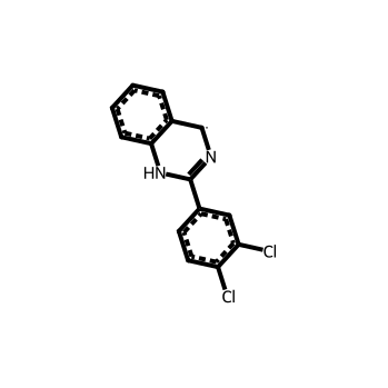 Clc1ccc(C2=N[CH]c3ccccc3N2)cc1Cl